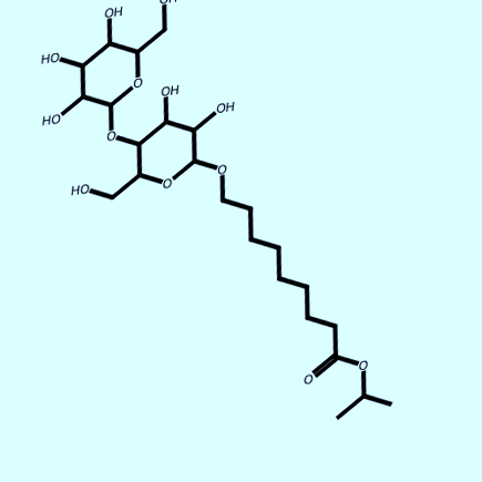 CC(C)OC(=O)CCCCCCCCOC1OC(CO)C(OC2OC(CO)C(O)C(O)C2O)C(O)C1O